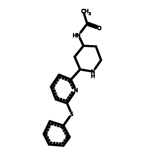 CC(=O)NC1CCNC(c2cccc(Sc3ccccc3)n2)C1